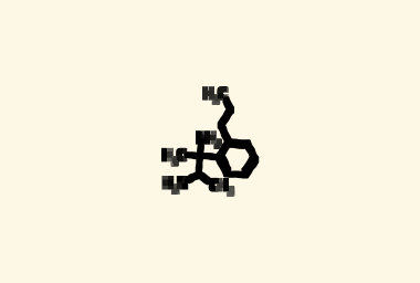 CCCc1ccccc1C(C)(N)C(C)N